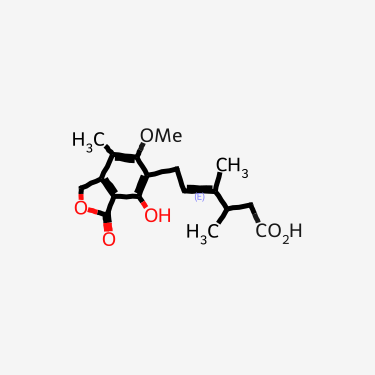 COc1c(C)c2c(c(O)c1C/C=C(\C)C(C)CC(=O)O)C(=O)OC2